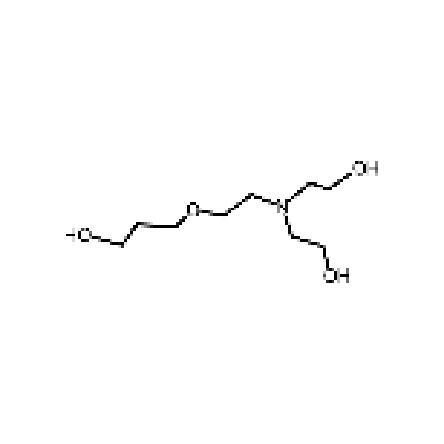 OCCCOCCN(CCO)CCO